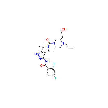 CCCN1C[C@H](C)N(C(=O)N2Cc3c(NC(=O)c4ccc(F)cc4F)n[nH]c3C2(C)C)C[C@H]1CCO